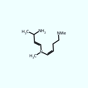 CNCC/C=C\N(C)/C=C/C(C)N